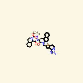 COC(=O)N1CCC2CCCCC2C1C(=O)N[C@@H](Cc1cccc2ccccc12)C(=O)NCc1cc2c(N)nccc2s1